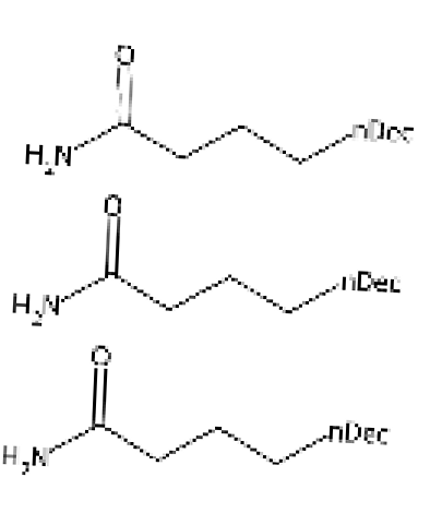 CCCCCCCCCCCCCC(N)=O.CCCCCCCCCCCCCC(N)=O.CCCCCCCCCCCCCC(N)=O